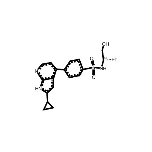 CC[C@@H](CO)NS(=O)(=O)c1ccc(-c2ccnc3[nH]c(C4CC4)cc23)cc1